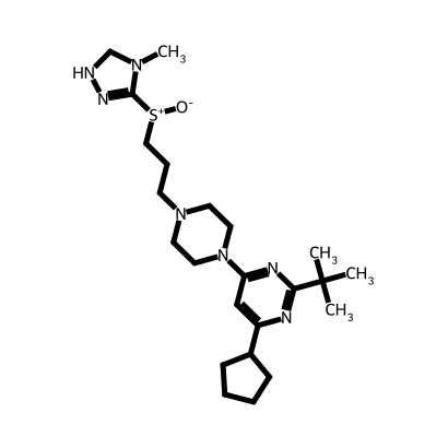 CN1CNN=C1[S+]([O-])CCCN1CCN(c2cc(C3CCCC3)nc(C(C)(C)C)n2)CC1